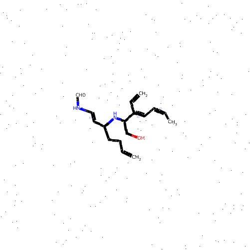 C=CCCC(/C=C/NC=O)NC(CO)/C(C=C)=C/C=C\C